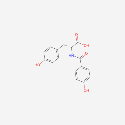 O=C(N[C@H](Cc1ccc(O)cc1)C(=O)O)c1ccc(O)cc1